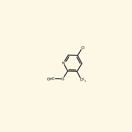 O=COc1ncc(Cl)cc1C(F)(F)F